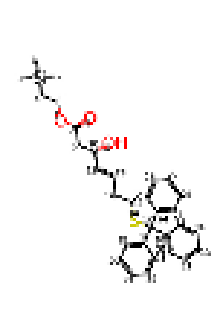 C[Si](C)(C)CCOC(=O)CC(O)/C=C/CCSC(c1ccccc1)(c1ccccc1)c1ccccc1